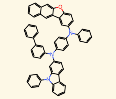 c1ccc(-c2cccc(N(c3ccc(N(c4ccccc4)c4ccc5oc6cc7ccccc7cc6c5c4)cc3)c3ccc4c5ccccc5n(-c5ccccc5)c4c3)c2)cc1